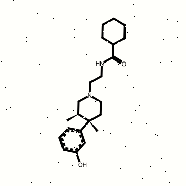 C[C@H]1CN(CCNC(=O)C2CCCCC2)CC[C@]1(C)c1cccc(O)c1